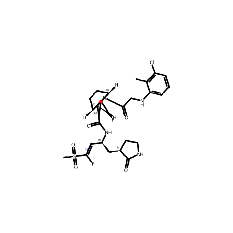 Cc1c(Cl)cccc1NCC(=O)N1[C@H]2CC[C@@H]([C@H]1C(=O)N[C@H](/C=C(\F)S(C)(=O)=O)C[C@H]1CCNC1=O)C(F)(F)C2